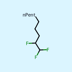 CCCCCCCCC(F)[C](F)F